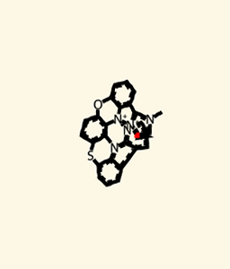 Cn1c2[n+](c3ncccc31)[N+]13c4c(cccc4-2)Oc2ccc4c(c21)-n1c2c(cccc2c2ccc[n+]3c21)S4